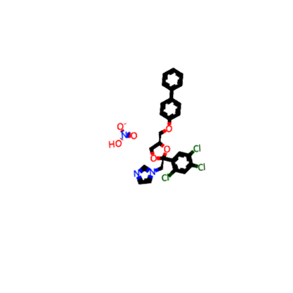 Clc1cc(Cl)c([C@]2(Cn3ccnc3)OC[C@@H](COc3ccc(-c4ccccc4)cc3)O2)cc1Cl.O=[N+]([O-])O